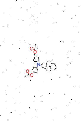 C=CC(=O)OCc1ccc(N(c2ccc(OC(=O)C=C)cc2)c2cc3c4c5c(ccc4c2)CC=CC5=CC3)cc1